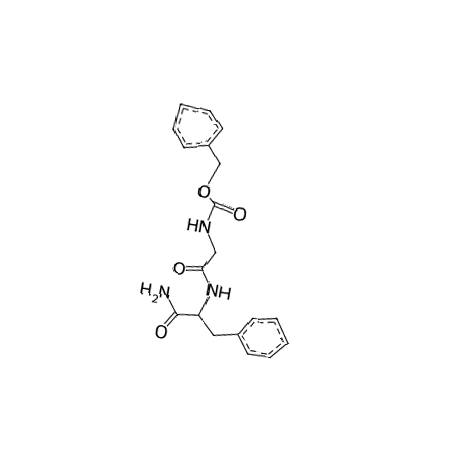 NC(=O)C(Cc1ccccc1)NC(=O)CNC(=O)OCc1ccccc1